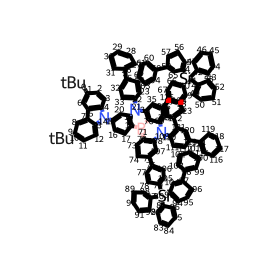 CC(C)(C)c1ccc2c(c1)c1cc(C(C)(C)C)ccc1n2-c1ccc2c(c1)N(c1ccc(-c3ccccc3)cc1)c1cc(-c3ccc([Si](c4ccccc4)(c4ccccc4)c4cccc(-c5ccccc5)c4)cc3)cc3c1B2c1ccc(-c2ccc([Si](c4ccccc4)(c4ccccc4)c4cccc(-c5ccccc5)c4)cc2)cc1N3c1ccc(-c2ccccc2)cc1-c1ccccc1